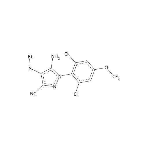 CCSc1c(C#N)nn(-c2c(Cl)cc(OC(F)(F)F)cc2Cl)c1N